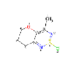 CC1=C2OCCCC2=NS(Cl)=N1